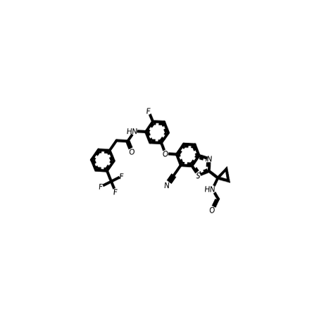 N#Cc1c(Oc2ccc(F)c(NC(=O)Cc3cccc(C(F)(F)F)c3)c2)ccc2nc(C3(NC=O)CC3)sc12